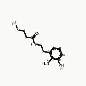 CC(C)SCCC(=O)NCCc1cccc(S)c1N